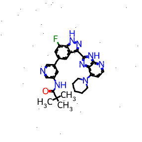 CC(C)(C)C(=O)Nc1cncc(-c2cc(F)c3[nH]nc(-c4nc5c(N6CCCCC6)ccnc5[nH]4)c3c2)c1